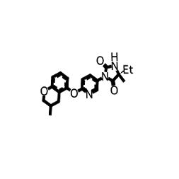 CC[C@@]1(C)NC(=O)N(c2ccc(Oc3cccc4c3CC(C)CO4)nc2)C1=O